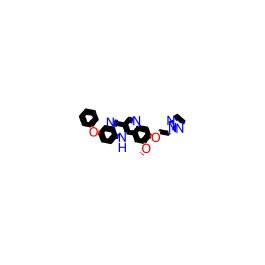 COc1cc2c(Nc3ccc(Oc4ccccc4)cc3)c(C#N)cnc2cc1OCCn1nccn1